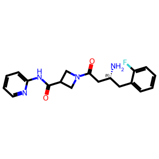 N[C@@H](CC(=O)N1CC(C(=O)Nc2ccccn2)C1)Cc1ccccc1F